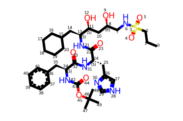 CCCS(=O)(=O)NC[C@H](O)C[C@H](O)[C@H](CC1CCCCC1)NC(=O)[C@H](Cc1c[nH]cn1)NC(=O)[C@H](Cc1ccccc1)NC(=O)OC(C)(C)C